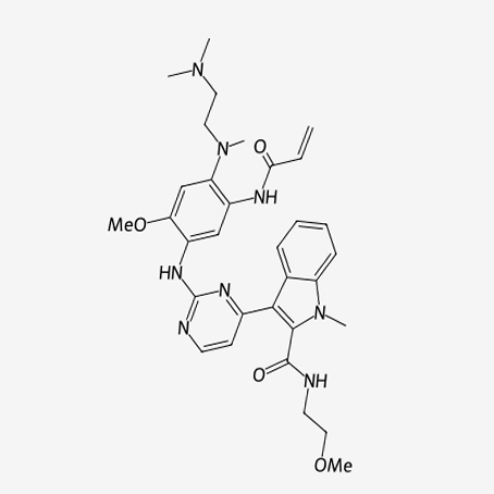 C=CC(=O)Nc1cc(Nc2nccc(-c3c(C(=O)NCCOC)n(C)c4ccccc34)n2)c(OC)cc1N(C)CCN(C)C